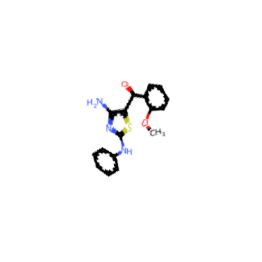 COc1ccccc1C(=O)c1sc(Nc2ccccc2)nc1N